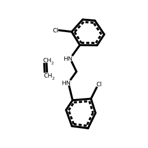 C=C.Clc1ccccc1NCNc1ccccc1Cl